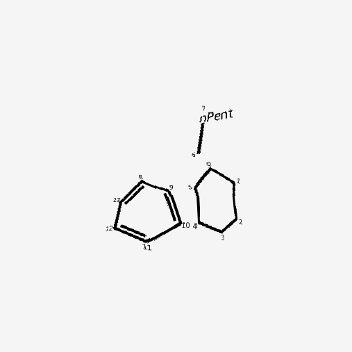 C1CCCCC1.CCCCCC.c1ccccc1